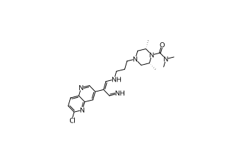 C[C@@H]1CN(CCCN/C=C(\C=N)c2cnc3ccc(Cl)nc3c2)C[C@H](C)N1C(=O)N(C)C